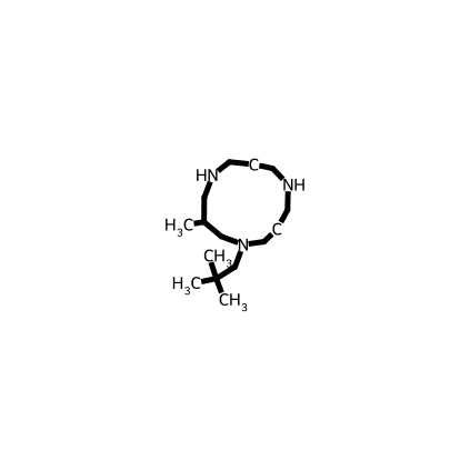 CC1CNCCCNCCCN(CC(C)(C)C)C1